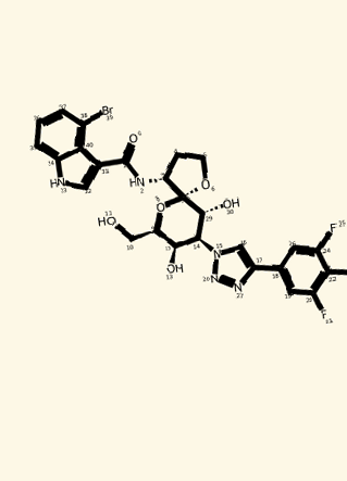 O=C(N[C@@H]1CCO[C@]12O[C@H](CO)[C@H](O)[C@H](n1cc(-c3cc(F)c(F)c(F)c3)nn1)[C@H]2O)c1c[nH]c2cccc(Br)c12